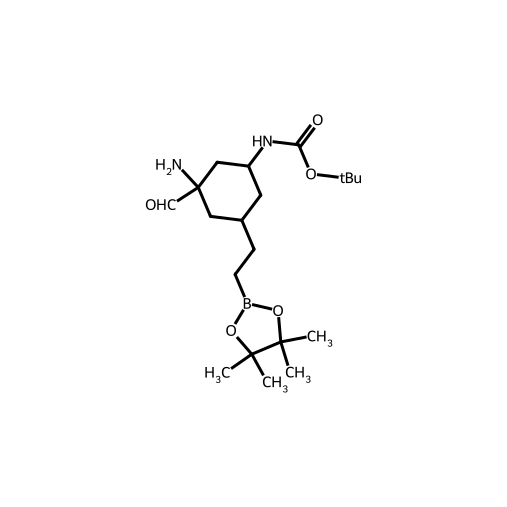 CC(C)(C)OC(=O)NC1CC(CCB2OC(C)(C)C(C)(C)O2)CC(N)(C=O)C1